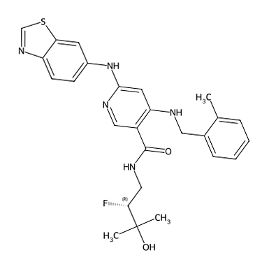 Cc1ccccc1CNc1cc(Nc2ccc3ncsc3c2)ncc1C(=O)NC[C@@H](F)C(C)(C)O